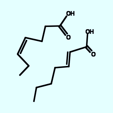 CC/C=C\CCC(=O)O.CCCCC=CC(=O)O